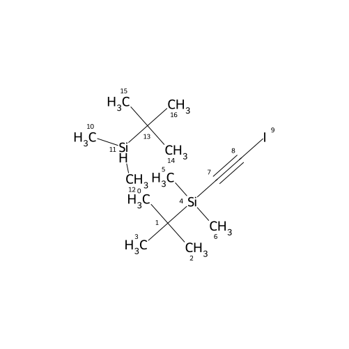 CC(C)(C)[Si](C)(C)C#CI.C[SiH](C)C(C)(C)C